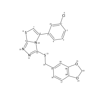 Clc1cccc(-c2csc3nnc(SCc4ccc5c(c4)OCO5)n23)c1